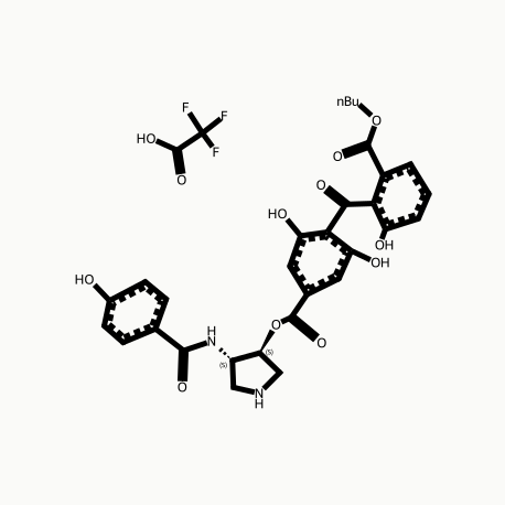 CCCCOC(=O)c1cccc(O)c1C(=O)c1c(O)cc(C(=O)O[C@H]2CNC[C@@H]2NC(=O)c2ccc(O)cc2)cc1O.O=C(O)C(F)(F)F